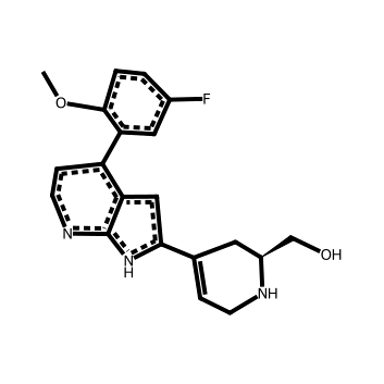 COc1ccc(F)cc1-c1ccnc2[nH]c(C3=CCN[C@H](CO)C3)cc12